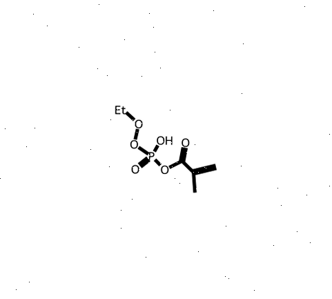 C=C(C)C(=O)OP(=O)(O)OOCC